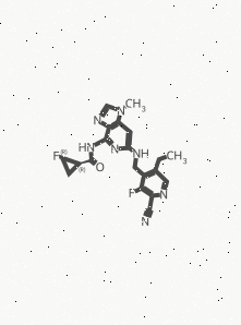 CCc1cnc(C#N)c(F)c1CNc1cc2c(ncn2C)c(NC(=O)[C@H]2C[C@H]2F)n1